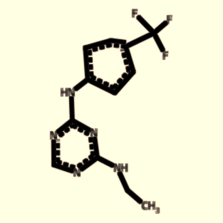 CCNc1ncnc(Nc2ccc(C(F)(F)F)cc2)n1